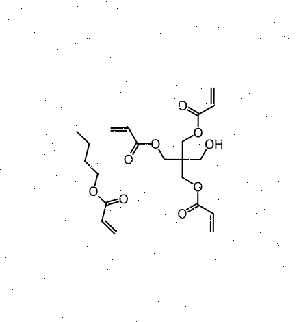 C=CC(=O)OCC(CO)(COC(=O)C=C)COC(=O)C=C.C=CC(=O)OCCCC